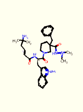 CN(C)NC(=O)C1(Cc2ccccc2)CCCN(C(=O)[C@@H](Cc2c[nH]c3ccccc23)NC(=O)/C=C/CC(C)(C)N)C1